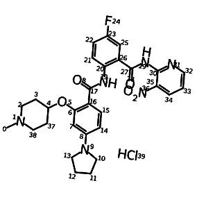 CN1CCC(Oc2cc(N3CCCC3)ccc2C(=O)Nc2ccc(F)cc2C(=O)Nc2ncccc2[N+](=O)[O-])CC1.Cl